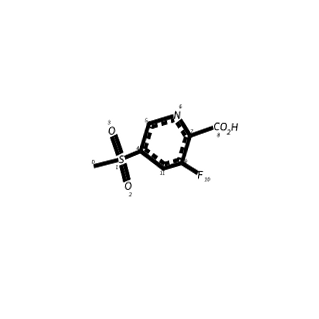 CS(=O)(=O)c1cnc(C(=O)O)c(F)c1